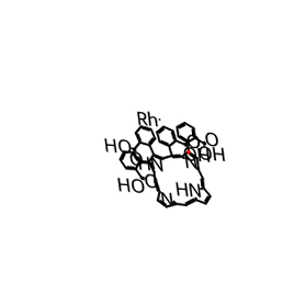 O=C(O)c1ccccc1C1=Cc2cc3ccc(cc4nc(cc5[nH]c(c(-c6ccccc6C(=O)O)c1n2)c(-c1ccccc1C(=O)O)c5-c1ccccc1C(=O)O)C=C4)[nH]3.[Rh]